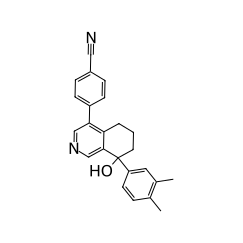 Cc1ccc(C2(O)CCCc3c(-c4ccc(C#N)cc4)cncc32)cc1C